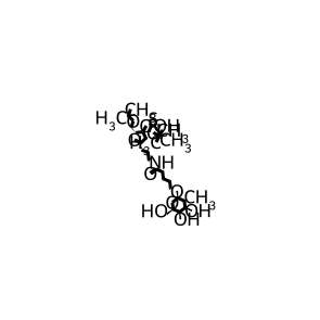 CC(C)OC[C@H]1O[C@@H](CCCNC(=O)CCCCO[C@@H]2O[C@H](CO)[C@H](O)[C@H](O)[C@H]2C)CC1OP(O)(=S)OC(C)(C)C